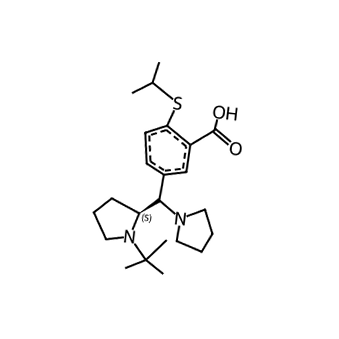 CC(C)Sc1ccc(C([C@@H]2CCCN2C(C)(C)C)N2CCCC2)cc1C(=O)O